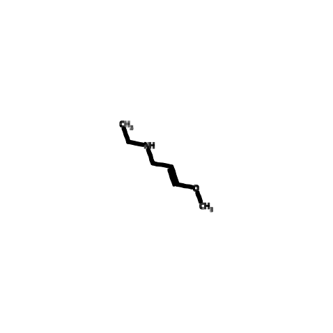 CCNC/C=C/OC